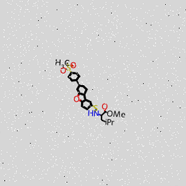 COC(=O)C(CC(C)C)NSc1ccc2oc3cc(-c4ccc(S(C)(=O)=O)cc4)ccc3c2c1